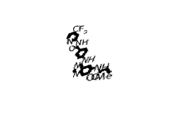 C=CC(=O)Nc1cc2c(Nc3ccc(C(=O)Nc4cc(C(F)(F)F)ccn4)cc3)ncnc2cc1OC